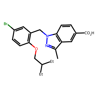 CCC(CC)COc1ccc(Br)cc1Cn1nc(C)c2cc(C(=O)O)ccc21